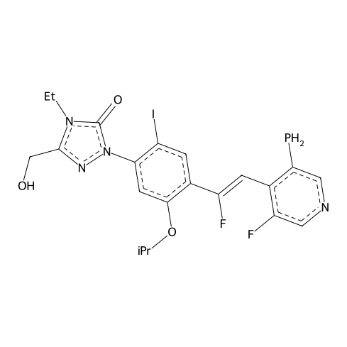 CCn1c(CO)nn(-c2cc(OC(C)C)c(/C(F)=C/c3c(F)cncc3P)cc2I)c1=O